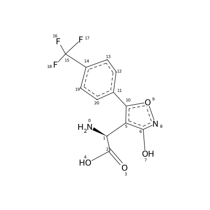 N[C@H](C(=O)O)c1c(O)noc1-c1ccc(C(F)(F)F)cc1